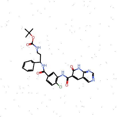 CC(C)(C)OC(=O)NCCC(NC(=O)c1ccc(Cl)c(NC(=O)c2cc3cncnc3[nH]c2=O)c1)c1ccccc1